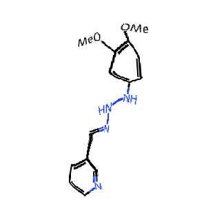 COc1ccc(NN/N=C/c2cccnc2)cc1OC